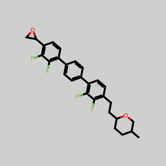 CC1CCC(CCc2ccc(-c3ccc(-c4ccc(C5CO5)c(F)c4F)cc3)c(F)c2F)OC1